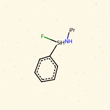 CC(C)N[SiH](F)c1ccccc1